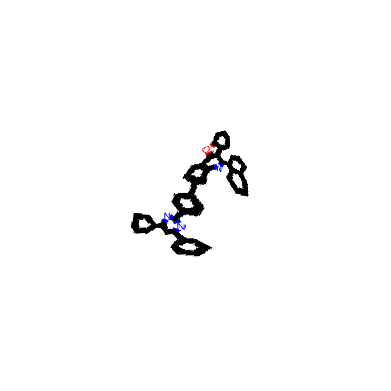 c1ccc(-c2cc(-c3ccccc3)nc(-c3ccc(-c4ccc5c(c4)nc(-c4cccc6ccccc46)c4c6ccccc6oc54)cc3)n2)cc1